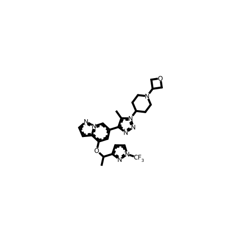 Cc1c(-c2cc(OC(C)c3ccn(C(F)(F)F)n3)c3ccnn3c2)nnn1C1CCN(C2COC2)CC1